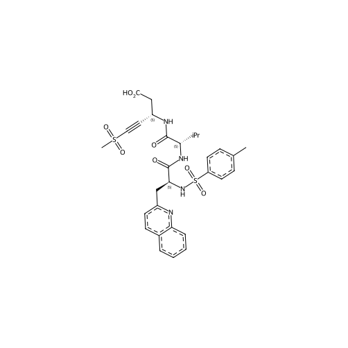 Cc1ccc(S(=O)(=O)N[C@@H](Cc2ccc3ccccc3n2)C(=O)N[C@H](C(=O)N[C@H](C#CS(C)(=O)=O)CC(=O)O)C(C)C)cc1